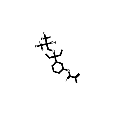 C=C(C)C(=O)OC1CCCC(C(CC)(CC)OCC(O)(C(F)(F)F)C(F)(F)F)C1